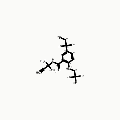 C#CC(C)(C)NC(=O)c1cc(C(F)(F)CF)ccc1NCC(F)(F)F